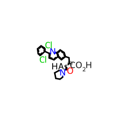 O=C(O)[C@H](Cc1ccc2nc(-c3c(Cl)cccc3Cl)ccc2c1)[AsH]C(=O)N1CCCCC1